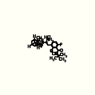 COc1c(C[C@H](N)B2O[C@@H]3C[C@@H]4C[C@@H](C4(C)C)[C@]3(C)O2)ccc(F)c1C(=O)OC(C)(C)C.Cl